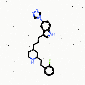 Fc1ccccc1CCC1CC(CCCc2c[nH]c3ccc(-n4cnnc4)cc23)CCN1